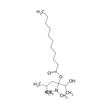 CCCCCCCCCCC(=O)OC(CC(C)C)(C(C)O)N(C)C